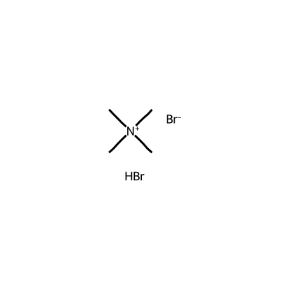 Br.C[N+](C)(C)C.[Br-]